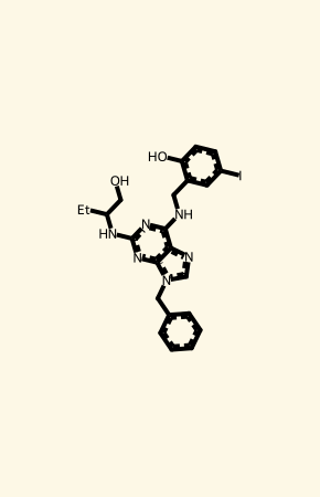 CCC(CO)Nc1nc(NCc2cc(I)ccc2O)c2ncn(Cc3ccccc3)c2n1